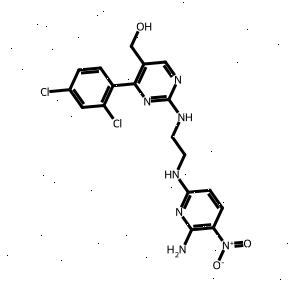 Nc1nc(NCCNc2ncc(CO)c(-c3ccc(Cl)cc3Cl)n2)ccc1[N+](=O)[O-]